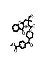 COC(=O)c1ccc(C(=O)C2CCN(C(=O)CC(C)(C=S)Cc3nc4ccccc4c(=O)[nH]3)CC2)cc1